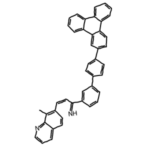 Cc1c(/C=C\C(=N)c2cccc(-c3ccc(-c4ccc5c6ccccc6c6ccccc6c5c4)cc3)c2)ccc2cccnc12